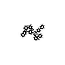 c1ccc(-c2ccc(-c3nc(-c4ccc(-n5c6ccccc6c6cc7ccccc7cc65)c5c4oc4ccccc45)nc(-c4cccc5oc6ccccc6c45)n3)cc2)cc1